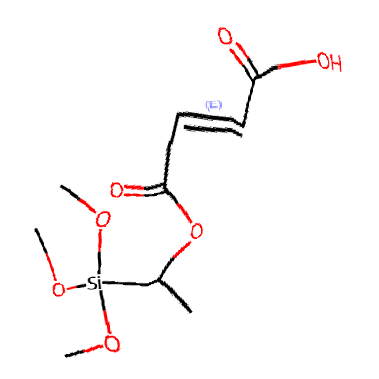 CO[Si](OC)(OC)C(C)OC(=O)/C=C/C(=O)O